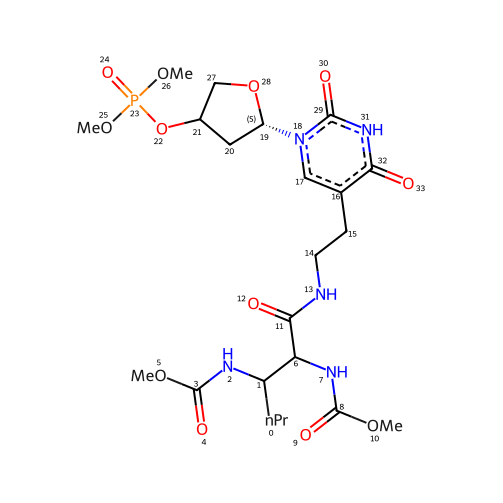 CCCC(NC(=O)OC)C(NC(=O)OC)C(=O)NCCc1cn([C@@H]2CC(OP(=O)(OC)OC)CO2)c(=O)[nH]c1=O